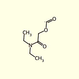 CCN(CC)C(=O)CO[C]=O